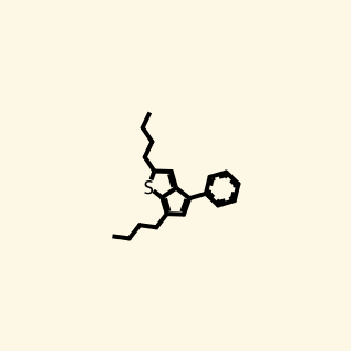 CCCCC1=C2SC(CCCC)C=C2C(c2ccccc2)=C1